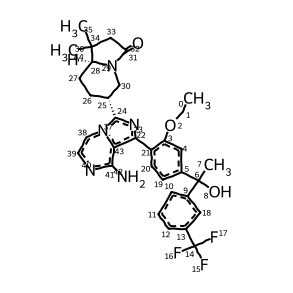 CCOc1cc(C(C)(O)c2cccc(C(F)(F)F)c2)ccc1-c1nc([C@@H]2CC[C@@H]3N(C2)C(=O)CC3(C)C)n2ccnc(N)c12